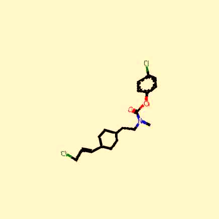 CN(CCC1CCC(C=CCCl)CC1)C(=O)Oc1ccc(Cl)cc1